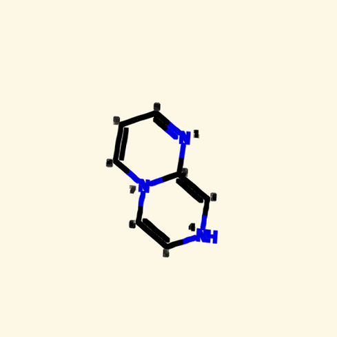 [C]1=NC2=CNC=CN2C=C1